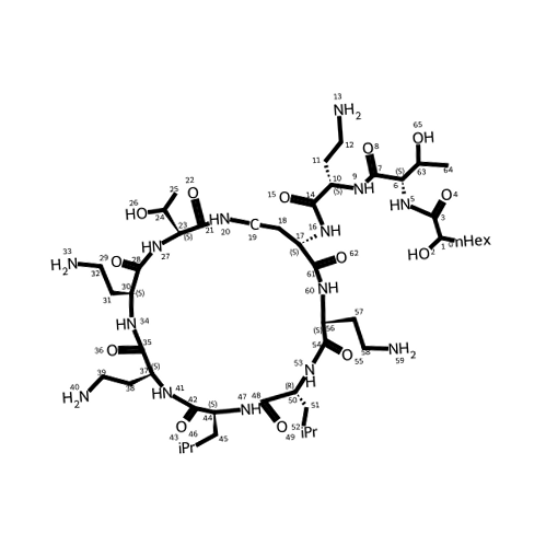 CCCCCCC(O)C(=O)N[C@H](C(=O)N[C@@H](CCN)C(=O)N[C@H]1CCNC(=O)[C@H](C(C)O)NC(=O)[C@H](CCN)NC(=O)[C@H](CCN)NC(=O)[C@H](CC(C)C)NC(=O)[C@@H](CC(C)C)NC(=O)[C@H](CCN)NC1=O)C(C)O